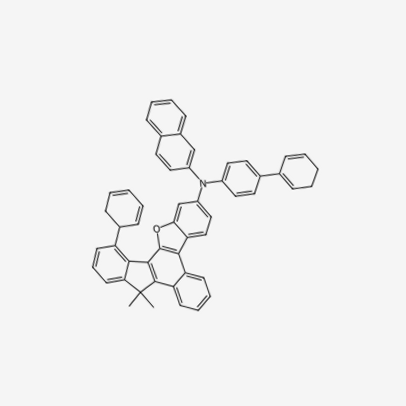 CC1(C)c2cccc(C3C=CC=CC3)c2-c2c1c1ccccc1c1c2oc2cc(N(c3ccc(C4=CCCC=C4)cc3)c3ccc4ccccc4c3)ccc21